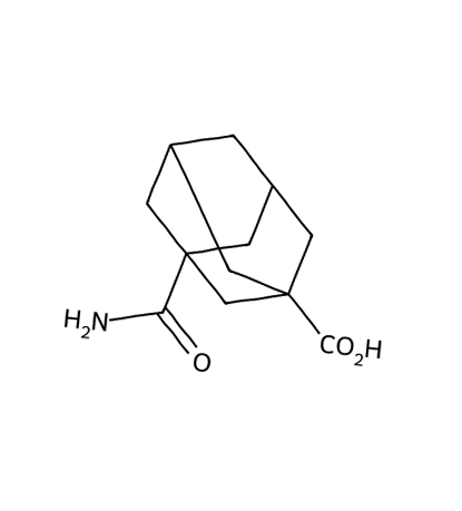 NC(=O)C12CC3CC(C1)CC(C(=O)O)(C3)C2